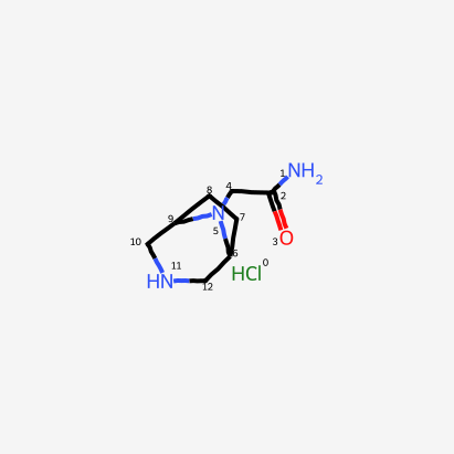 Cl.NC(=O)CN1C2CCC1CNC2